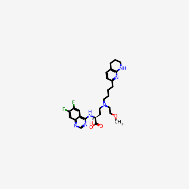 COCCN(CCCCc1ccc2c(n1)NCCC2)CC[C@H](Nc1ncnc2cc(F)c(F)cc12)C(=O)O